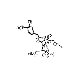 CC1(C)S[C@H]2N(C(=O)C2(NC(=O)Cc2ccc(O)c(O)c2)C(=O)OCC(Cl)(Cl)Cl)[C@H]1C(=O)O